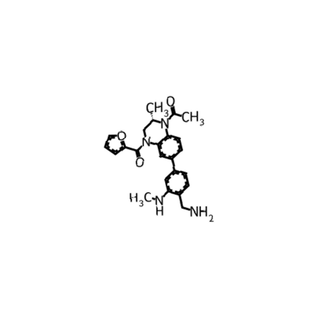 CNc1cc(-c2ccc3c(c2)N(C(=O)c2ccco2)C[C@H](C)N3C(C)=O)ccc1CN